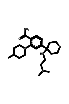 CC1CCN(c2cc(C3(NCCN(C)C)CCOCC3)ccc2C(N)=O)CC1